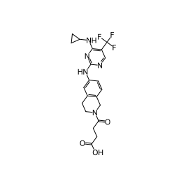 O=C(O)CCC(=O)N1CCc2cc(Nc3ncc(C(F)(F)F)c(NC4CC4)n3)ccc2C1